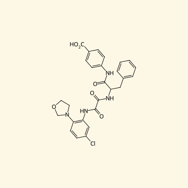 O=C(Nc1cc(Cl)ccc1N1CCOC1)C(=O)NC(Cc1ccccc1)C(=O)Nc1ccc(C(=O)O)cc1